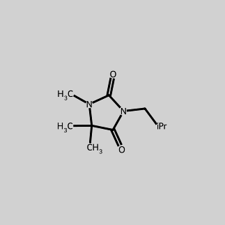 CC(C)CN1C(=O)N(C)C(C)(C)C1=O